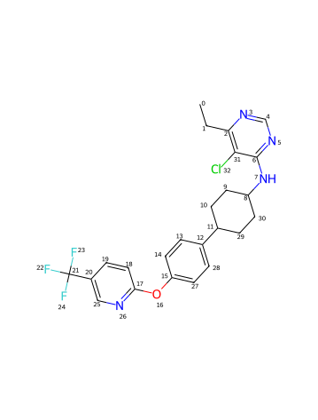 CCc1ncnc(NC2CCC(c3ccc(Oc4ccc(C(F)(F)F)cn4)cc3)CC2)c1Cl